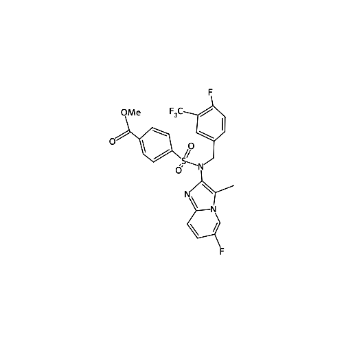 COC(=O)c1ccc(S(=O)(=O)N(Cc2ccc(F)c(C(F)(F)F)c2)c2nc3ccc(F)cn3c2C)cc1